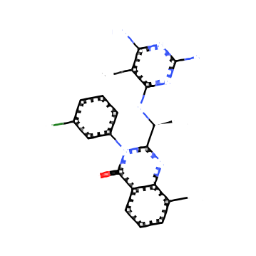 Cc1cccc2c(=O)n(-c3cccc(Cl)c3)c([C@H](C)Nc3nc(N)nc(N)c3C#N)nc12